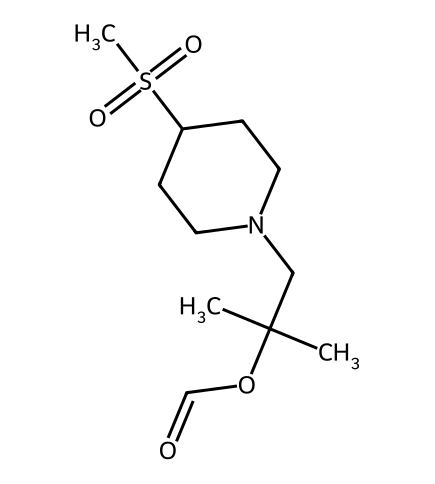 CC(C)(CN1CCC(S(C)(=O)=O)CC1)OC=O